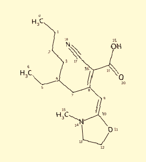 CCCCC(CC)CC(C=C1OCCN1C)=C(C#N)C(=O)O